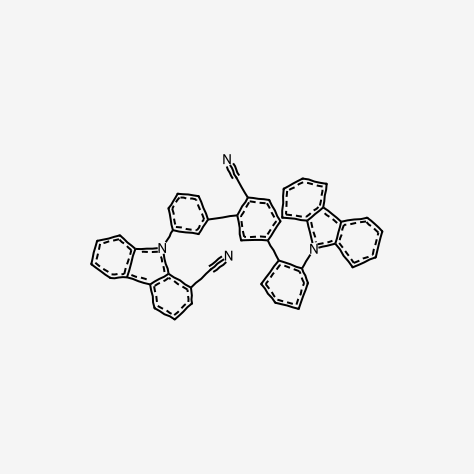 N#Cc1ccc(-c2ccccc2-n2c3ccccc3c3ccccc32)cc1-c1cccc(-n2c3ccccc3c3cccc(C#N)c32)c1